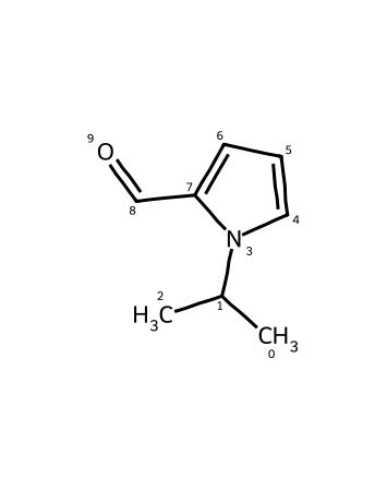 CC(C)n1cccc1C=O